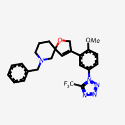 COc1ccc(-n2nnnc2C(F)(F)F)cc1C1=CC2(CCCN(Cc3ccccc3)C2)OC1